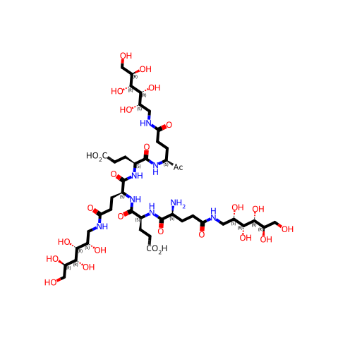 CC(=O)[C@H](CCC(=O)NC[C@H](O)[C@@H](O)[C@H](O)[C@H](O)CO)NC(=O)[C@H](CCC(=O)O)NC(=O)[C@H](CCC(=O)NC[C@H](O)[C@@H](O)[C@H](O)[C@H](O)CO)NC(=O)[C@H](CCC(=O)O)NC(=O)[C@@H](N)CCC(=O)NC[C@H](O)[C@@H](O)[C@H](O)[C@H](O)CO